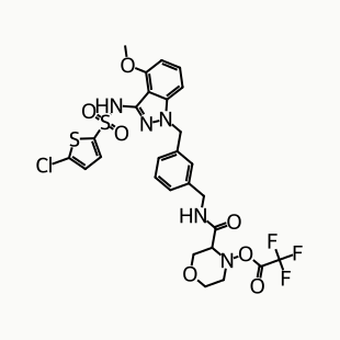 COc1cccc2c1c(NS(=O)(=O)c1ccc(Cl)s1)nn2Cc1cccc(CNC(=O)C2COCCN2OC(=O)C(F)(F)F)c1